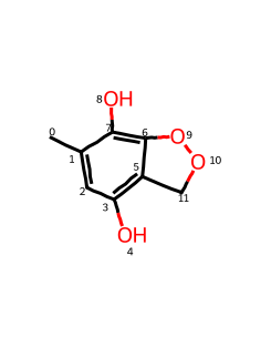 Cc1cc(O)c2c(c1O)OOC2